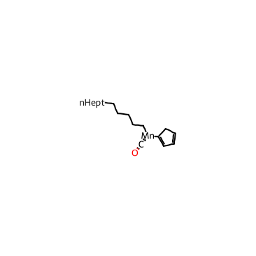 CCCCCCCCCCC[CH2][Mn](=[C]=O)[C]1=CC=CC1